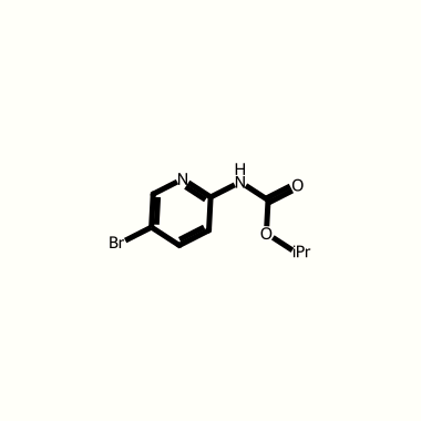 CC(C)OC(=O)Nc1ccc(Br)cn1